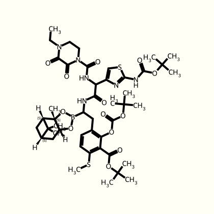 CCN1CCN(C(=O)NC(C(=O)NC(Cc2ccc(SC)c(C(=O)OC(C)(C)C)c2OC(=O)OC(C)(C)C)B2O[C@@H]3C[C@@H]4C[C@@H](C4(C)C)[C@]3(C)O2)c2csc(NC(=O)OC(C)(C)C)n2)C(=O)C1=O